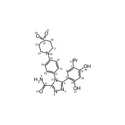 CC(C)c1cc(-c2nnc(C(N)=O)n2-c2ccc(N3CCS(=O)(=O)CC3)cc2)c(O)cc1O